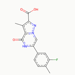 Cc1ccc(-c2cn3nc(C(=O)O)c(C)c3c(=O)[nH]2)cc1F